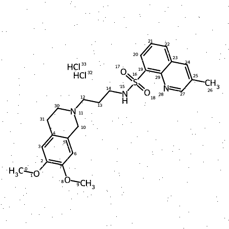 COc1cc2c(cc1OC)CN(CCCNS(=O)(=O)c1cccc3cc(C)cnc13)CC2.Cl.Cl